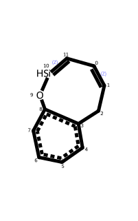 C1=C\Cc2ccccc2O\[SiH]=C/1